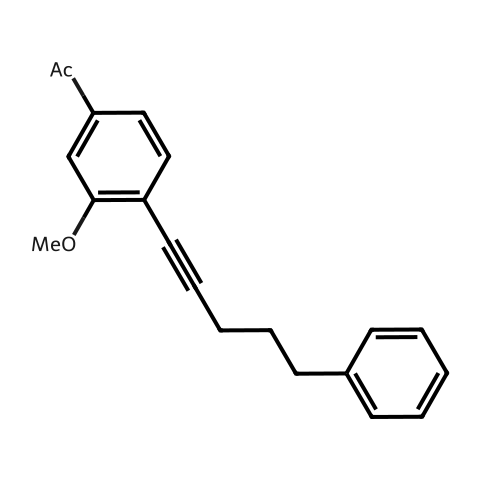 COc1cc(C(C)=O)ccc1C#CCCCc1ccccc1